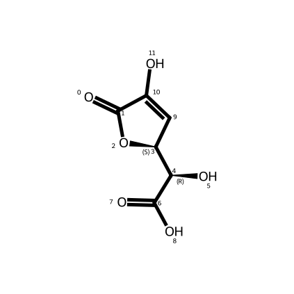 O=C1O[C@H]([C@@H](O)C(=O)O)C=C1O